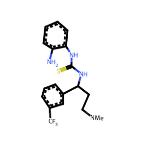 CNCCC(NC(=S)Nc1ccccc1N)c1cccc(C(F)(F)F)c1